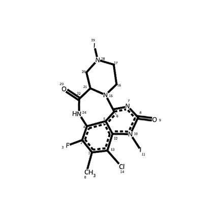 Cc1c(F)c2c3c(nc(=O)n(I)c3c1Cl)N1CCN(I)CC1C(=O)N2